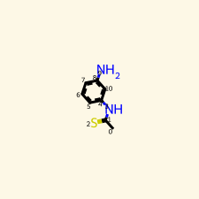 CC(=S)Nc1cccc(N)c1